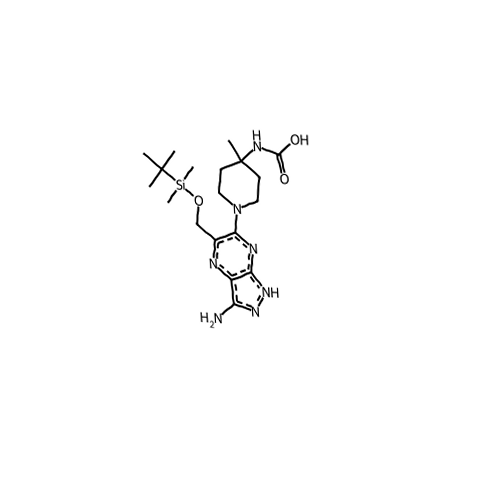 CC1(NC(=O)O)CCN(c2nc3[nH]nc(N)c3nc2CO[Si](C)(C)C(C)(C)C)CC1